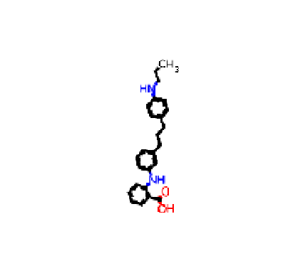 CCCNc1ccc(CCCc2cccc(Nc3ccccc3C(=O)O)c2)cc1